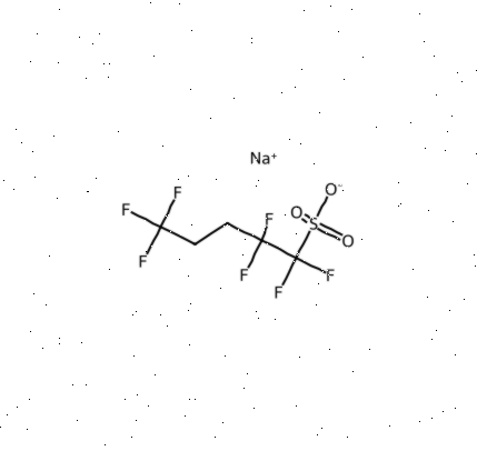 O=S(=O)([O-])C(F)(F)C(F)(F)CCC(F)(F)F.[Na+]